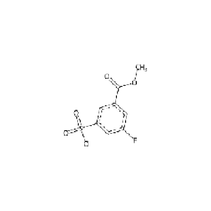 COC(=O)c1cc(F)cc(S(=O)(=O)Cl)c1